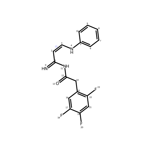 N=C(/C=C\Nc1ccccc1)NC(=O)Cc1cc(F)c(F)cc1F